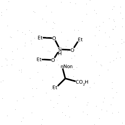 CCCCCCCCCC(CC)C(=O)O.CCO[SiH](OCC)OCC